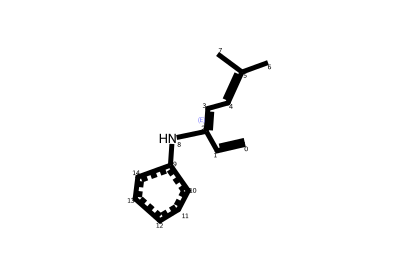 C=C/C(=C\C=C(C)C)Nc1ccccc1